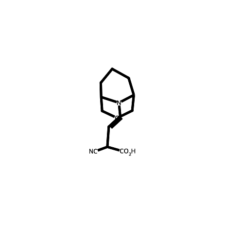 N#CC(C=CN1C2CCCC1COC2)C(=O)O